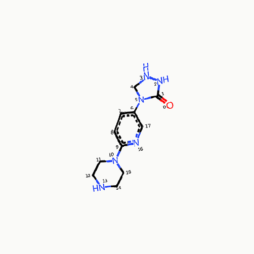 O=C1NNCN1c1ccc(N2CCNCC2)nc1